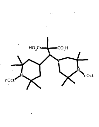 CCCCCCCCN1C(C)(C)CC(C(C2CC(C)(C)N(CCCCCCCC)C(C)(C)C2)C(C)(C(=O)O)C(=O)O)CC1(C)C